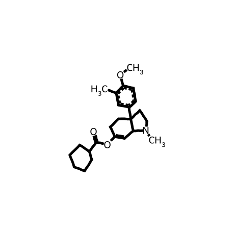 COc1ccc(C23CCC(OC(=O)C4CCCCC4)=CC2N(C)CC3)cc1C